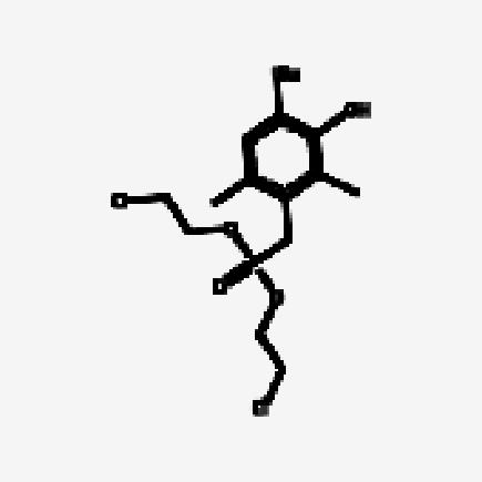 Cc1cc(C(C)(C)C)c(O)c(C)c1CP(=O)(OCCCl)OCCCl